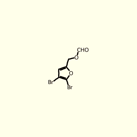 O=COCc1cc(Br)c(Br)o1